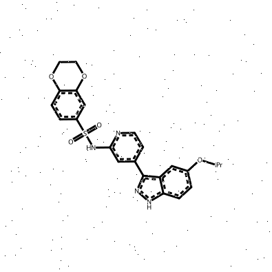 CC(C)Oc1ccc2[nH]nc(-c3ccnc(NS(=O)(=O)c4ccc5c(c4)OCCO5)c3)c2c1